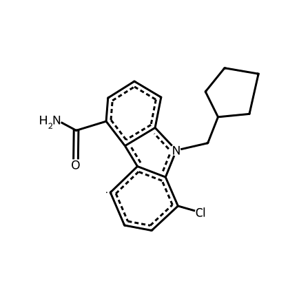 NC(=O)c1cccc2c1c1[c]ccc(Cl)c1n2CC1CCCC1